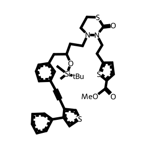 COC(=O)c1ccc(CCN2C(=O)SCCN2CCC(Cc2cccc(C#Cc3cscc3-c3ccccc3)c2)O[Si](C)(C)C(C)(C)C)s1